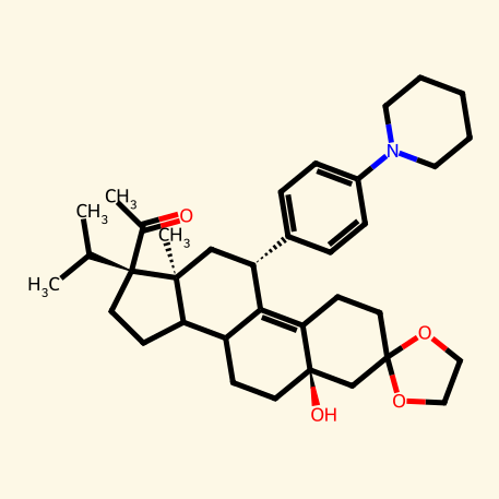 CC(=O)[C@@]1(C(C)C)CCC2C3CC[C@@]4(O)CC5(CCC4=C3[C@@H](c3ccc(N4CCCCC4)cc3)C[C@@]21C)OCCO5